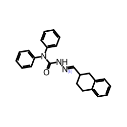 O=C(N/N=C/C1CCc2ccccc2C1)N(c1ccccc1)c1ccccc1